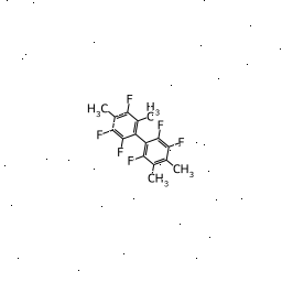 Cc1c(F)c(C)c(-c2c(F)c(C)c(C)c(F)c2F)c(F)c1F